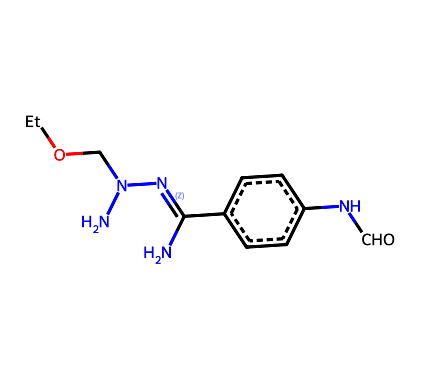 CCOCN(N)/N=C(\N)c1ccc(NC=O)cc1